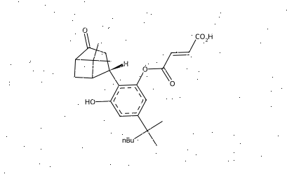 CCCCC(C)(C)c1cc(O)c([C@H]2CC(=O)C3CC2C3(C)C)c(OC(=O)/C=C/C(=O)O)c1